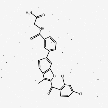 Cc1c(C(=O)c2ccc(Cl)cc2Cl)oc2cc(-c3cccc(C(=O)NCC(N)=O)c3)ccc12